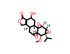 CO[C@H]1C23O[C@H]2C[C@H]2C4=C(C(=O)OC4)C(O)C[C@]2(C)[C@@]32O[C@H]2[C@@H]2O[C@@]21C(C)C